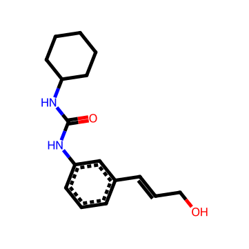 O=C(Nc1cccc(/C=C/CO)c1)NC1CCCCC1